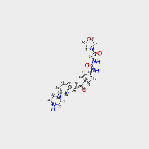 O=C(NCC(=O)N1CCOCC1)Nc1ccc(C(=O)/C=C/c2cccc(N3CCNCC3)n2)cc1